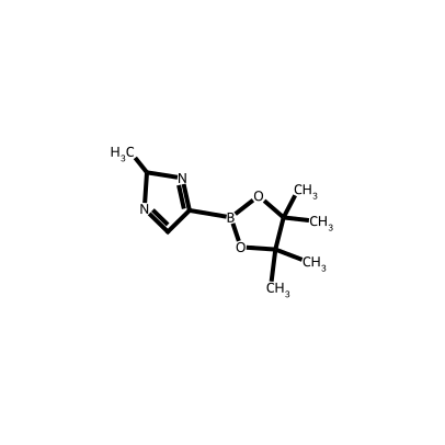 CC1N=CC(B2OC(C)(C)C(C)(C)O2)=N1